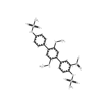 COc1cc(-c2ccc(OS(C)(=O)=O)c([N+](=O)[O-])c2)c(OC)cc1-c1ccc(OS(C)(=O)=O)cc1